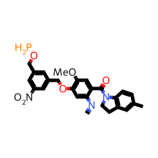 C=Nc1cc(OCc2cc(COP)cc([N+](=O)[O-])c2)c(OC)cc1C(=O)N1CCc2cc(C)ccc21